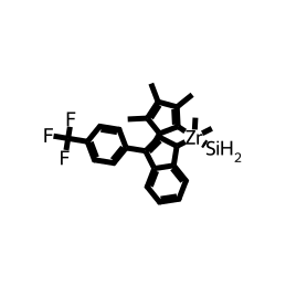 CC1=C(C)C(C)[C]([Zr]([CH3])([CH3])(=[SiH2])[CH]2C=C(c3ccc(C(F)(F)F)cc3)c3ccccc32)=C1C